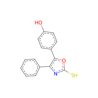 Oc1ccc(-c2oc(S)nc2-c2ccccc2)cc1